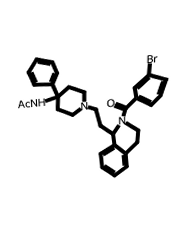 CC(=O)NC1(c2ccccc2)CCN(CCC2c3ccccc3CCN2C(=O)c2cccc(Br)c2)CC1